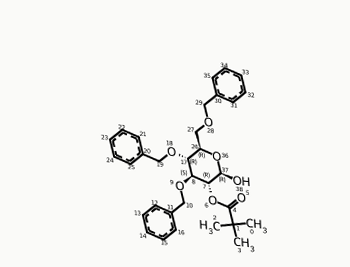 CC(C)(C)C(=O)O[C@@H]1[C@@H](OCc2ccccc2)[C@H](OCc2ccccc2)[C@@H](COCc2ccccc2)O[C@H]1O